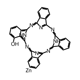 Oc1cccc2c3nc4nc(nc5[nH]c(nc6nc(nc([nH]3)c12)-c1ccccc1-6)c1ccccc51)-c1ccccc1-4.[Zn]